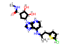 CCNC(=O)[C@H]1C[C@@H](n2cnc3c(NC(C)Cc4ccc(Cl)s4)ccnc32)[C@H](O)[C@@H]1O